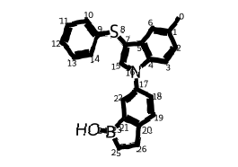 Cc1ccc2c(c1)c(Sc1ccccc1)cn2-c1ccc2c(c1)B(O)CC2